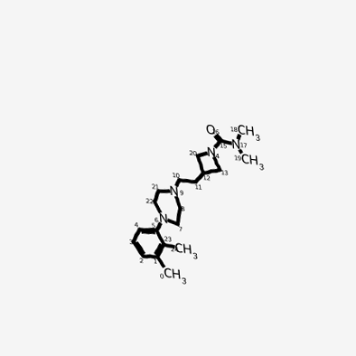 Cc1cccc(N2CCN(CCC3CN(C(=O)N(C)C)C3)CC2)c1C